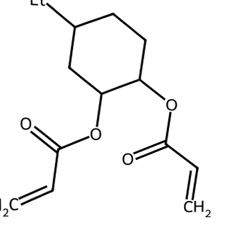 [CH2]CC1CCC(OC(=O)C=C)C(OC(=O)C=C)C1